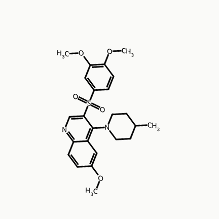 COc1ccc2ncc(S(=O)(=O)c3ccc(OC)c(OC)c3)c(N3CCC(C)CC3)c2c1